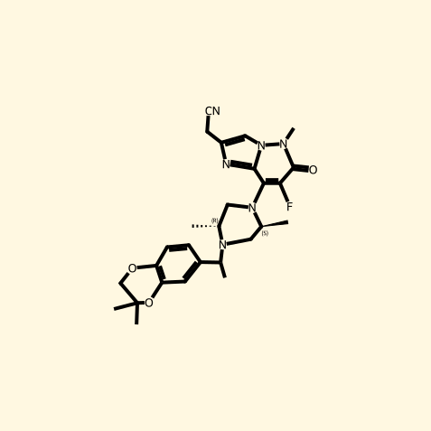 CC(c1ccc2c(c1)OC(C)(C)CO2)N1C[C@H](C)N(c2c(F)c(=O)n(C)n3cc(CC#N)nc23)C[C@H]1C